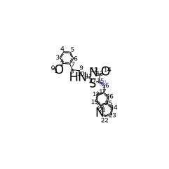 COc1ccccc1CCNC1=NC(=O)/C(=C/c2ccc3ncccc3c2)S1